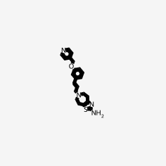 Nc1nc2c(s1)CCN(CC=Cc1cccc(OCc3ccncc3)c1)CC2